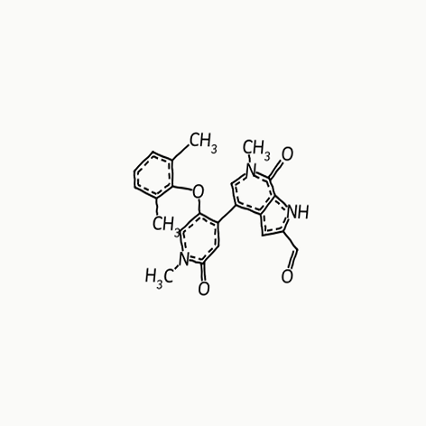 Cc1cccc(C)c1Oc1cn(C)c(=O)cc1-c1cn(C)c(=O)c2[nH]c(C=O)cc12